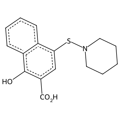 O=C(O)c1cc(SN2CCCCC2)c2ccccc2c1O